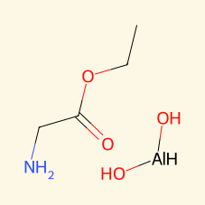 CCOC(=O)CN.[OH][AlH][OH]